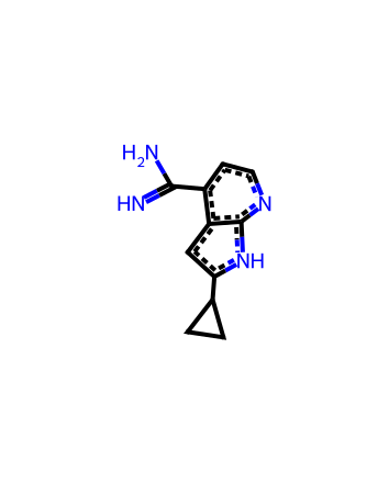 N=C(N)c1ccnc2[nH]c(C3CC3)cc12